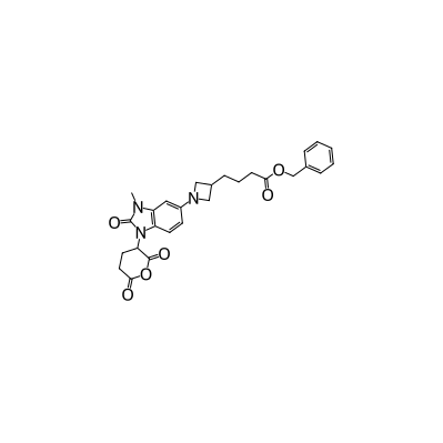 Cn1c(=O)n(C2CCC(=O)OC2=O)c2ccc(N3CC(CCCC(=O)OCc4ccccc4)C3)cc21